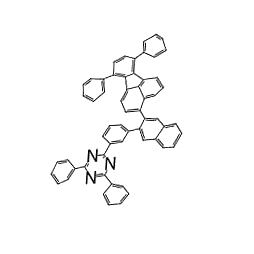 c1ccc(-c2nc(-c3ccccc3)nc(-c3cccc(-c4cc5ccccc5cc4-c4ccc5c6c(cccc46)-c4c(-c6ccccc6)ccc(-c6ccccc6)c4-5)c3)n2)cc1